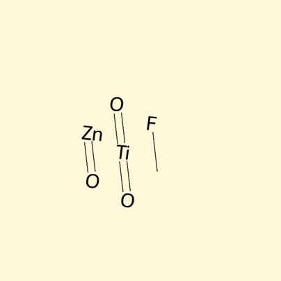 CF.[O]=[Ti]=[O].[O]=[Zn]